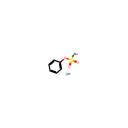 CCC(C)S(=O)(=O)Oc1ccccc1.[LiH]